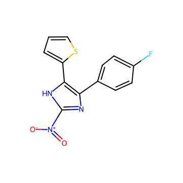 O=[N+]([O-])c1nc(-c2ccc(F)cc2)c(-c2cccs2)[nH]1